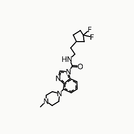 CN1CCN(c2cccc3c2ncn3C(=O)NCCC2CCC(F)(F)C2)CC1